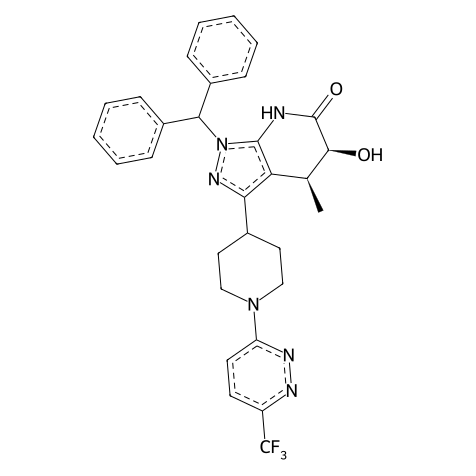 C[C@H]1c2c(C3CCN(c4ccc(C(F)(F)F)nn4)CC3)nn(C(c3ccccc3)c3ccccc3)c2NC(=O)[C@H]1O